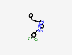 Clc1ccc(CNc2ccc3ncc(C#CCc4ccccc4)n3n2)cc1Cl